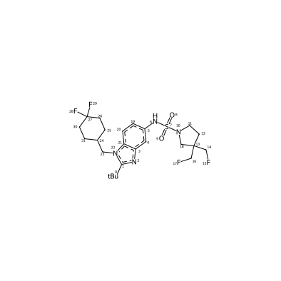 CC(C)(C)c1nc2cc(NS(=O)(=O)N3CCC(CF)(CF)C3)ccc2n1CC1CCC(F)(F)CC1